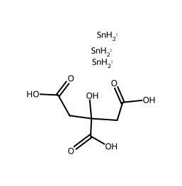 O=C(O)CC(O)(CC(=O)O)C(=O)O.[SnH2].[SnH2].[SnH2]